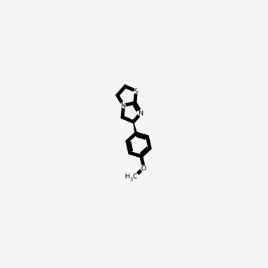 COc1ccc([C@H]2CN3CCSC3=N2)cc1